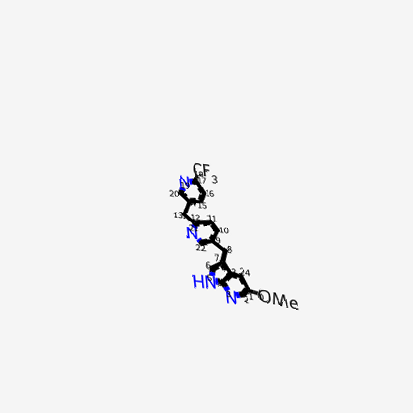 COc1cnc2[nH]cc(Cc3ccc([CH]c4ccc(C(F)(F)F)nc4)nc3)c2c1